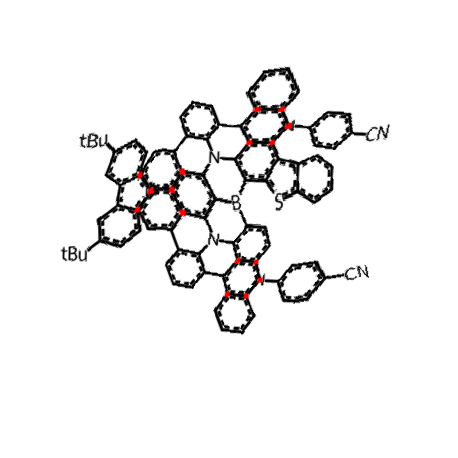 CC(C)(C)c1ccc2c(c1)c1cc(C(C)(C)C)ccc1n2-c1cc2c3c(c1)N(c1c(-c4ccccc4)cccc1-c1ccccc1)c1cc(N(c4ccccc4)c4ccc(C#N)cc4)c4c(sc5ccccc54)c1B3c1ccc(N(c3ccccc3)c3ccc(C#N)cc3)cc1N2c1c(-c2ccccc2)cccc1-c1ccccc1